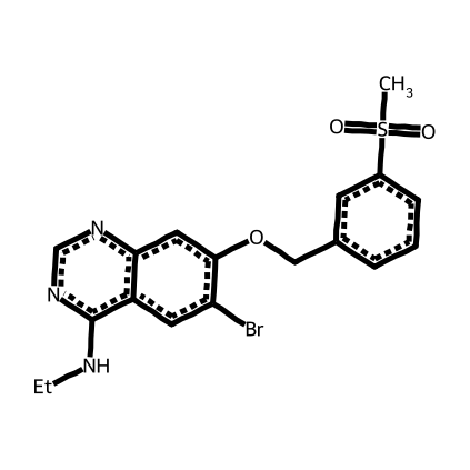 CCNc1ncnc2cc(OCc3cccc(S(C)(=O)=O)c3)c(Br)cc12